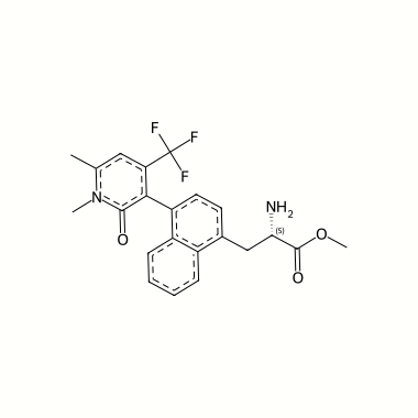 COC(=O)[C@@H](N)Cc1ccc(-c2c(C(F)(F)F)cc(C)n(C)c2=O)c2ccccc12